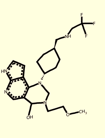 COCCN1CN([C@H]2CC[C@H](CNCC(F)(F)F)CC2)c2c(cnc3[nH]ccc23)C1O